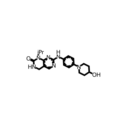 CC(C)N1C(=O)NCc2cnc(Nc3ccc(N4CCC(O)CC4)cc3)nc21